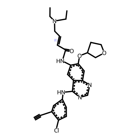 C#Cc1cc(Nc2ncnc3cc(OC4CCOC4)c(NC(=O)/C=C/CN(CC)CC)cc23)ccc1Cl